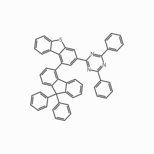 c1ccc(-c2nc(-c3ccccc3)nc(-c3cc(-c4cccc5c4-c4ccccc4C5(c4ccccc4)c4ccccc4)c4c(c3)sc3ccccc34)n2)cc1